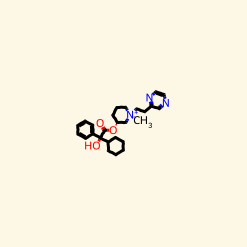 C[N+]1(CCc2cnccn2)CCC[C@@H](OC(=O)C(O)(c2ccccc2)C2CCCCC2)C1